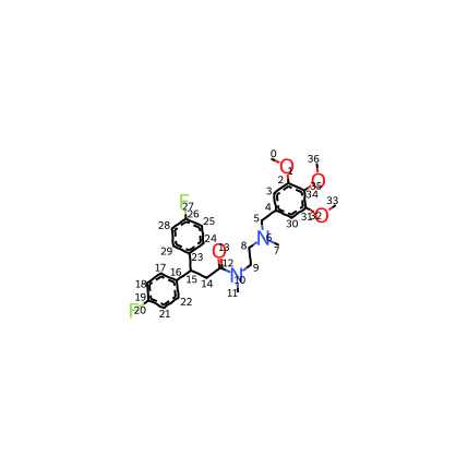 COc1cc(CN(C)CCN(C)C(=O)CC(c2ccc(F)cc2)c2ccc(F)cc2)cc(OC)c1OC